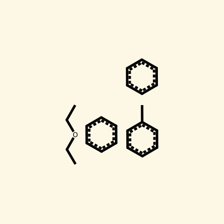 CCOCC.Cc1ccccc1.c1ccccc1.c1ccccc1